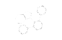 [C]1SC2=C(CCCC2)N1c1c(-c2ccccc2)cccc1-c1ccccc1